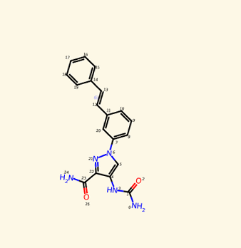 NC(=O)Nc1cn(-c2cccc(/C=C/c3ccccc3)c2)nc1C(N)=O